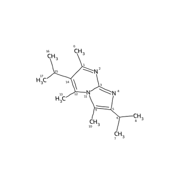 Cc1nc2nc(C(C)C)c(C)n2c(C)c1C(C)C